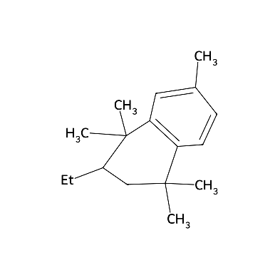 CCC1CC(C)(C)c2ccc(C)cc2C1(C)C